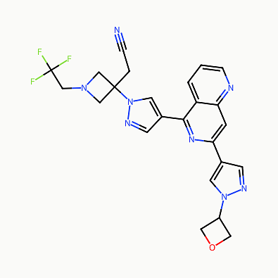 N#CCC1(n2cc(-c3nc(-c4cnn(C5COC5)c4)cc4ncccc34)cn2)CN(CC(F)(F)F)C1